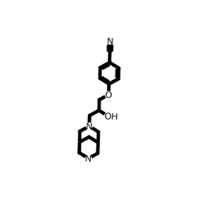 N#Cc1ccc(OCC(O)CN2CC3C[N]CC(C3)C2)cc1